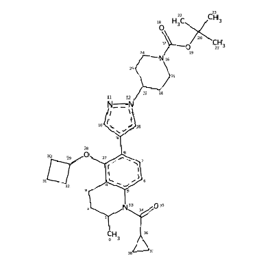 CC1CCc2c(ccc(-c3cnn(C4CCN(C(=O)OC(C)(C)C)CC4)c3)c2OC2CCC2)N1C(=O)C1CC1